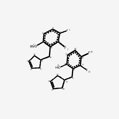 COc1ccc(F)c(F)c1CC1CC=CC1.Oc1ccc(F)c(F)c1CC1CC=CC1